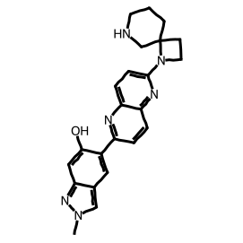 Cn1cc2cc(-c3ccc4nc(N5CCC56CCCNC6)ccc4n3)c(O)cc2n1